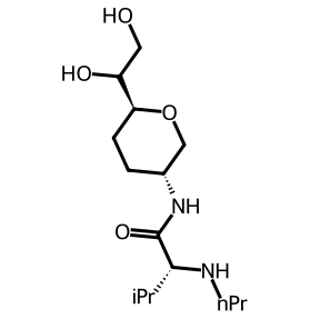 CCCN[C@@H](C(=O)N[C@@H]1CC[C@@H](C(O)CO)OC1)C(C)C